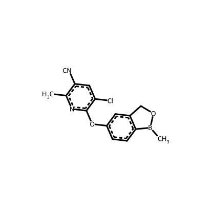 [C-]#[N+]c1cc(Cl)c(Oc2ccc3c(c2)COB3C)nc1C